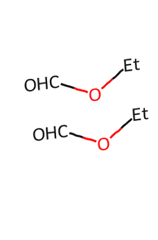 CCOC=O.CCOC=O